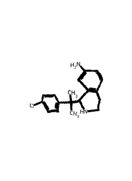 CC(C)(c1ccc(Cl)cc1)C1NCCc2ccc(N)cc21